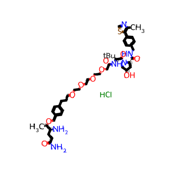 Cc1ncsc1-c1ccc(CNC(=O)[C@@H]2C[C@@H](O)CN2C(=O)[C@@H](NC(=O)COCCOCCOCCOCCCc2ccc(CO[C@H](C)[C@@H](N)CCC(N)=O)cc2)C(C)(C)C)cc1.Cl